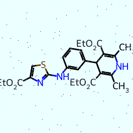 CCOC(=O)C1=C(C)NC(C)=C(C(=O)OCC)C1c1cccc(Nc2nc(C(=O)OCC)cs2)c1